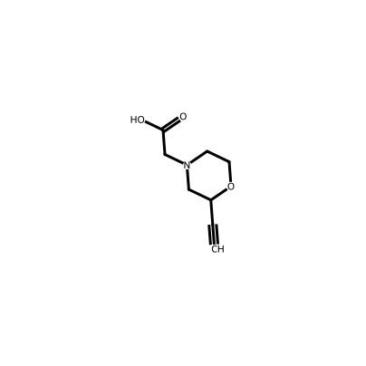 C#CC1CN(CC(=O)O)CCO1